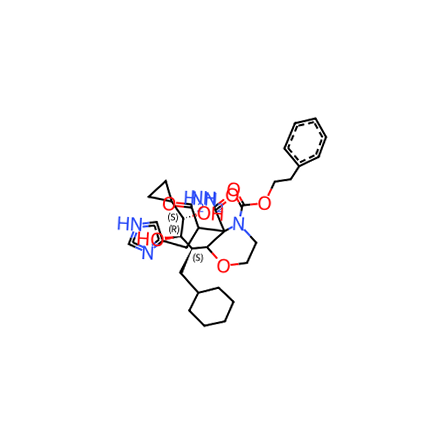 NC(=O)C(Cc1c[nH]cn1)C1(C(N)=O)C([C@@H](CC2CCCCC2)[C@@H](O)[C@@H](O)C2CC2)OCCN1C(=O)OCCc1ccccc1